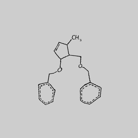 CC1C=CC(OCc2ccccc2)C1COCc1ccccc1